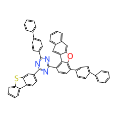 c1ccc(-c2ccc(-c3nc(-c4ccc5c(c4)sc4ccccc45)nc(-c4ccc(-c5ccc(-c6ccccc6)cc5)c5oc6cc7ccccc7cc6c45)n3)cc2)cc1